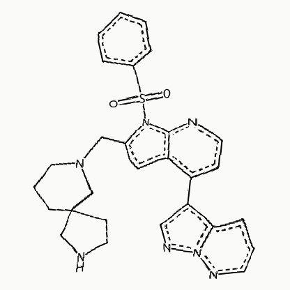 O=S(=O)(c1ccccc1)n1c(CN2CCCC3(CCNC3)C2)cc2c(-c3cnn4ncccc34)ccnc21